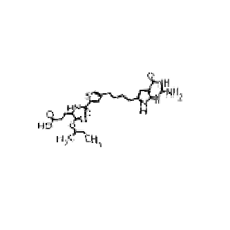 CCC(C)OC(=O)C(CCC(=O)O)NC(=O)c1cc(CCCCc2cc3c(=O)[nH]c(N)nc3[nH]2)cs1